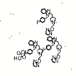 Fc1ccc(Cn2c(CC3CCN(CCOc4ncccn4)CC3)nc3ccccc32)cc1.Fc1ccc(Cn2c(CC3CCN(CCOc4ncccn4)CC3)nc3ccccc32)cc1.Fc1ccc(Cn2c(CC3CCN(CCOc4ncccn4)CC3)nc3ccccc32)cc1.O=C(O)C(=O)O